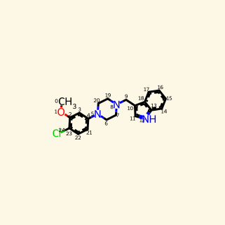 COc1cc(N2CCN(Cc3c[nH]c4ccccc34)CC2)ccc1Cl